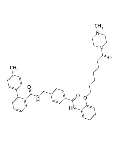 Cc1ccc(-c2ccccc2C(=O)NCc2ccc(C(=O)Nc3ccccc3OCCCCCCC(=O)N3CCN(C)CC3)cc2)cc1